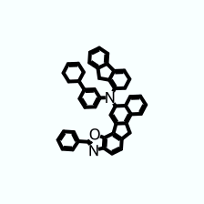 C1=CC2=C3Cc4ccc5nc(-c6ccccc6)oc5c4C3=CC(N(C3=C4Cc5ccccc5C4=CCC3)c3cccc(C4CC=CCC4)c3)C2C=C1